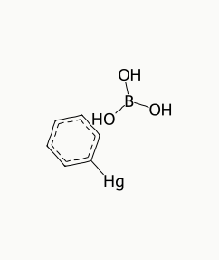 OB(O)O.[Hg][c]1ccccc1